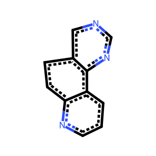 c1cnc2ccc3cncnc3c2c1